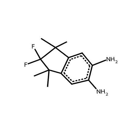 CC1(C)c2cc(N)c(N)cc2C(C)(C)C1(F)F